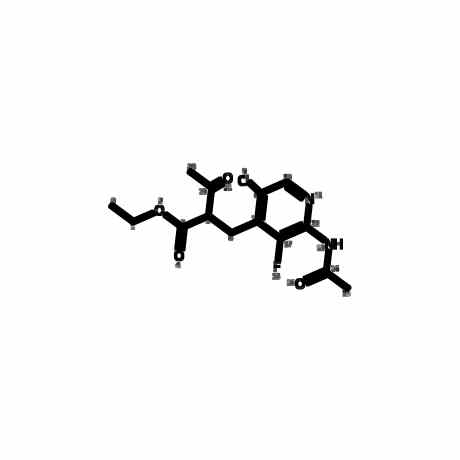 CCOC(=O)C(Cc1c(Cl)cnc(NC(C)=O)c1F)C(C)=O